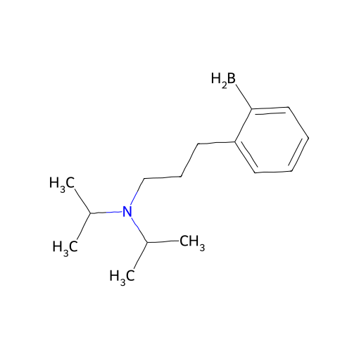 Bc1ccccc1CCCN(C(C)C)C(C)C